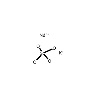 [K+].[Nd+3].[O-][Si]([O-])([O-])[O-]